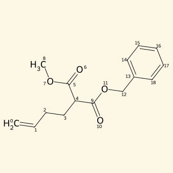 C=CCCC(C(=O)OC)C(=O)OCc1ccccc1